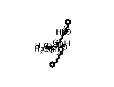 CC(C)(C)OC(=O)CCN1C(=O)C(CCCCNC(=O)OCc2ccccc2)NC(=O)C12CCN(CCCCCc1ccccc1)CC2